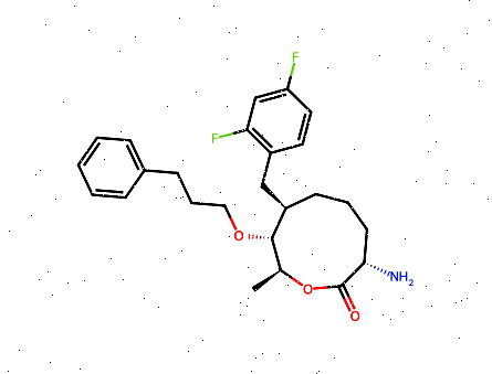 C[C@@H]1OC(=O)[C@@H](N)CCC[C@H](Cc2ccc(F)cc2F)[C@H]1OCCCc1ccccc1